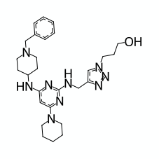 OCCCn1cc(CNc2nc(NC3CCN(Cc4ccccc4)CC3)cc(N3CCCCC3)n2)nn1